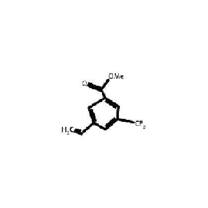 C=Cc1cc(C(=O)OC)cc(C(F)(F)F)c1